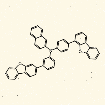 c1cc(-c2ccc3c(c2)oc2ccccc23)cc(N(c2ccc(-c3cccc4c3oc3ccccc34)cc2)c2ccc3ccccc3c2)c1